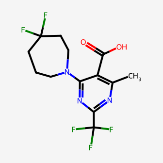 Cc1nc(C(F)(F)F)nc(N2CCCC(F)(F)CC2)c1C(=O)O